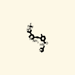 Cc1ccc(C(=O)NCc2ccsc2)cc1C#Cc1cc(-c2cnn(C(F)(F)F)c2)cnc1N